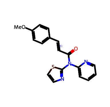 COc1ccc(/C=C/C(=O)N(c2ccccn2)c2nccs2)cc1